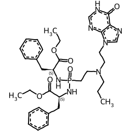 CCCN(CCn1cnc2c(=O)[nH]cnc21)CCP(=O)(N[C@@H](Cc1ccccc1)C(=O)OCC)N[C@@H](Cc1ccccc1)C(=O)OCC